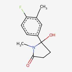 Cc1cc(C2(O)CCC(=O)N2C)ccc1F